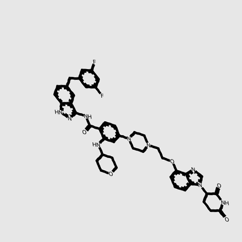 O=C1CCC(n2cnc3c(OCCN4CCN(c5ccc(C(=O)Nc6n[nH]c7ccc(Cc8cc(F)cc(F)c8)cc67)c(NC6CCOCC6)c5)CC4)cccc32)C(=O)N1